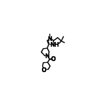 CN1C=C(C2CCCN(C(=O)C3CCOCC3)C2)NC1CC(C)(C)C